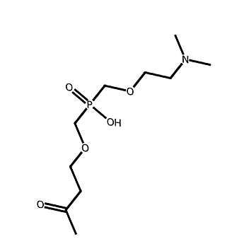 CC(=O)CCOCP(=O)(O)COCCN(C)C